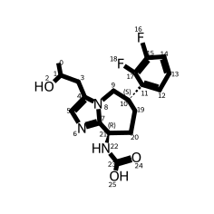 CC(O)Cc1cnc2n1C[C@H](c1cccc(F)c1F)CC[C@H]2NC(=O)O